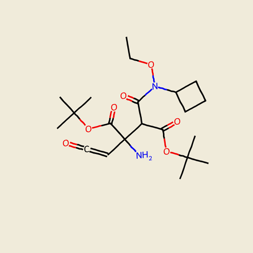 CCON(C(=O)C(C(=O)OC(C)(C)C)C(N)(C=C=O)C(=O)OC(C)(C)C)C1CCC1